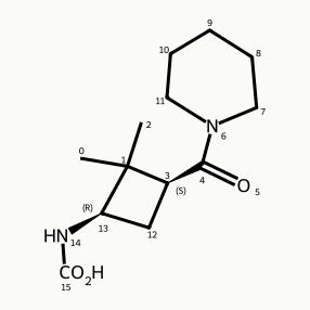 CC1(C)[C@@H](C(=O)N2CCCCC2)C[C@H]1NC(=O)O